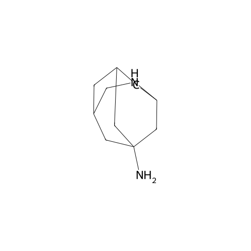 NC12CC3CNC(CC(C3)C1)C2